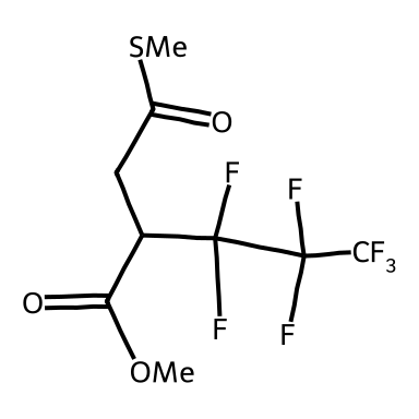 COC(=O)C(CC(=O)SC)C(F)(F)C(F)(F)C(F)(F)F